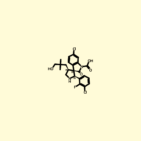 CC(C)(CO)C[C@@H]1CN[C@H](c2cccc(Cl)c2F)[C@]12C(=O)N(C(=O)O)c1cc(Cl)ccc12